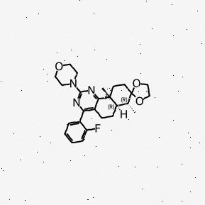 C[C@@H]1[C@H]2CCc3c(-c4ccccc4F)nc(N4CCOCC4)nc3[C@]2(C)CCC12OCCO2